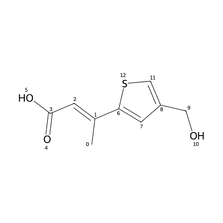 C/C(=C\C(=O)O)c1cc(CO)cs1